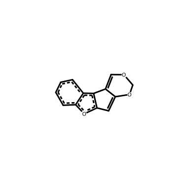 C1=C2OCOC=C2c2c1oc1ccccc21